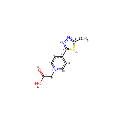 Cc1nnc(-c2cc[n+](CC(=O)O)cc2)s1